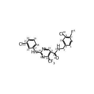 O=C(NCc1ccc(F)c(Cl)c1)c1cnc(Nc2cccc(Cl)c2)nc1C(F)(F)F